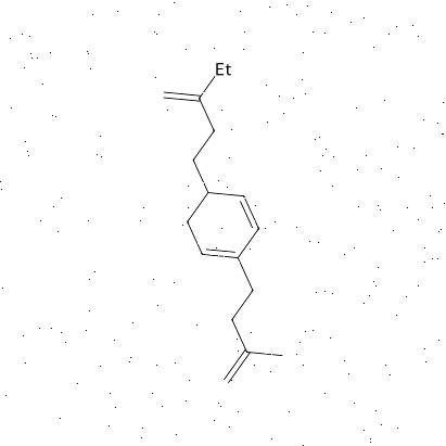 C=C(C)CCC1=CCC(CCC(=C)CC)C=C1